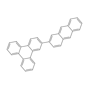 c1ccc2cc3cc(-c4ccc5c6ccccc6c6ccccc6c5c4)ccc3cc2c1